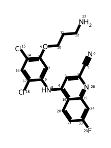 N#Cc1cc(Nc2cc(OCCCN)c(Cl)cc2Cl)c2ccc(F)cc2n1